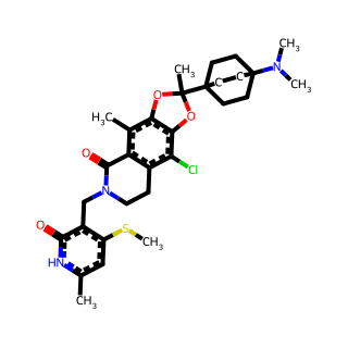 CSc1cc(C)[nH]c(=O)c1CN1CCc2c(Cl)c3c(c(C)c2C1=O)OC(C)(C12CCC(N(C)C)(CC1)CC2)O3